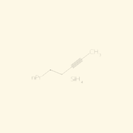 CC#CCCCCC.[SiH4]